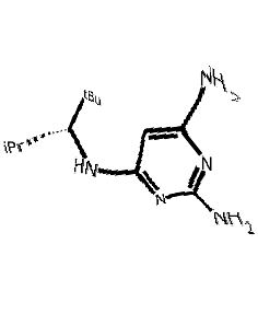 CC(C)[C@@H](Nc1cc(N)nc(N)n1)C(C)(C)C